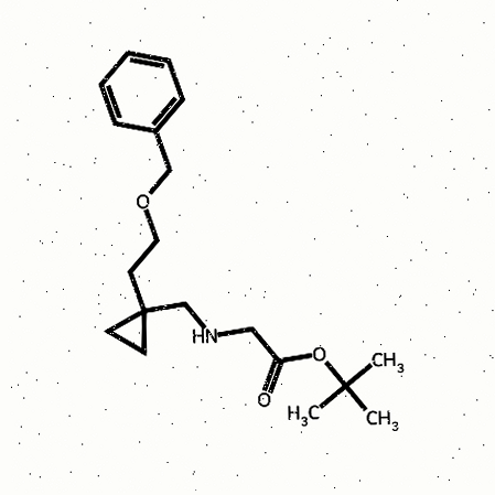 CC(C)(C)OC(=O)CNCC1(CCOCc2ccccc2)CC1